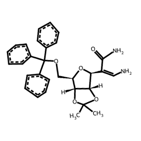 CC1(C)O[C@@H]2[C@H](O1)[C@@H](COC(c1ccccc1)(c1ccccc1)c1ccccc1)O[C@H]2C(=CN)C(N)=O